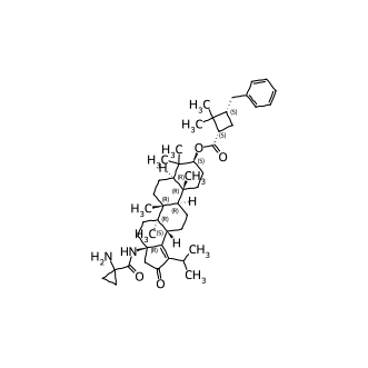 CC(C)C1=C2[C@H]3CC[C@@H]4[C@@]5(C)CC[C@H](OC(=O)[C@H]6C[C@@H](Cc7ccccc7)C6(C)C)C(C)(C)[C@@H]5CC[C@@]4(C)[C@]3(C)CC[C@@]2(NC(=O)C2(N)CC2)CC1=O